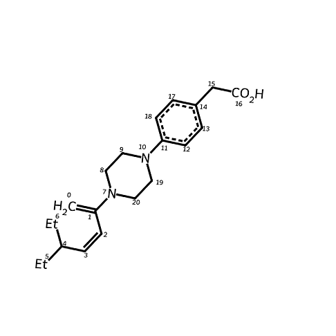 C=C(/C=C\C(CC)CC)N1CCN(c2ccc(CC(=O)O)cc2)CC1